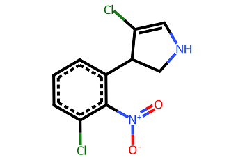 O=[N+]([O-])c1c(Cl)cccc1C1CNC=C1Cl